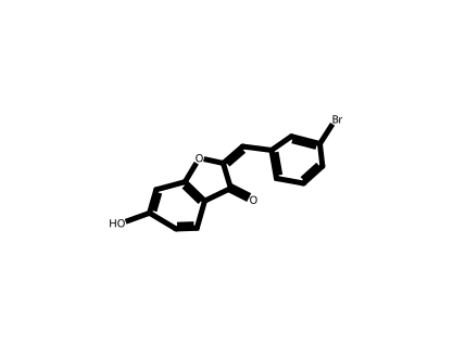 O=C1C(=Cc2cccc(Br)c2)Oc2cc(O)ccc21